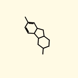 CC1=CC2CC3CCC(C)CC3C2C=C1